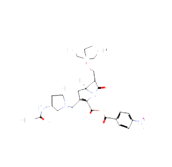 CC[Si](CC)(CC)O[C@H](C)C1C(=O)N2C(C(=O)OC(=O)c3ccc([N+](=O)[O-])cc3)=C(CN3CC[C@H](NC(C)=O)C3)[C@H](C)[C@H]12